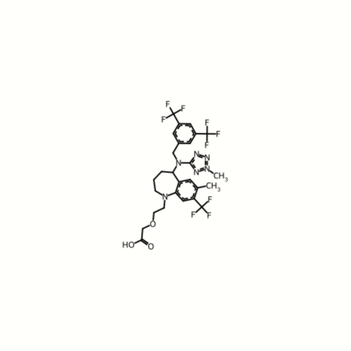 Cc1cc2c(cc1C(F)(F)F)N(CCOCC(=O)O)CCCC2N(Cc1cc(C(F)(F)F)cc(C(F)(F)F)c1)c1nnn(C)n1